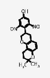 CC1(C)CCc2c(ccc3c2OCC(c2c(N=O)cc(O)cc2N=O)C3)O1